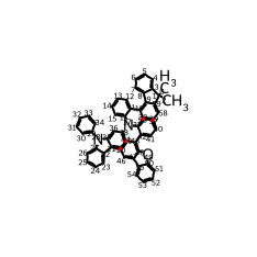 CC1(C)c2ccccc2-c2c(-c3ccccc3N(c3ccc4c5ccccc5n(-c5ccccc5)c4c3)c3ccccc3-c3cccc4c3oc3ccccc34)cccc21